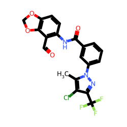 Cc1c(Cl)c(C(F)(F)F)nn1-c1cccc(C(=O)Nc2ccc3c(c2C=O)OCO3)c1